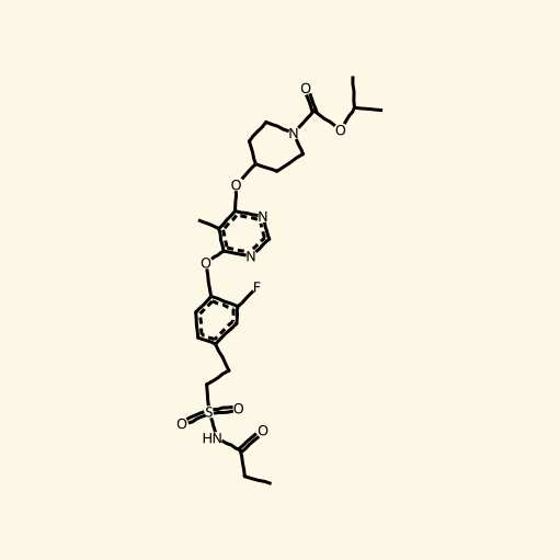 CCC(=O)NS(=O)(=O)CCc1ccc(Oc2ncnc(OC3CCN(C(=O)OC(C)C)CC3)c2C)c(F)c1